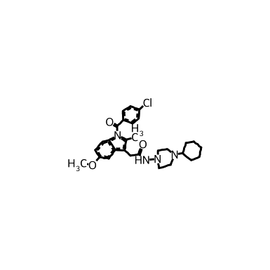 COc1ccc2c(c1)c(CC(=O)NN1CCN(C3CCCCC3)CC1)c(C)n2C(=O)c1ccc(Cl)cc1